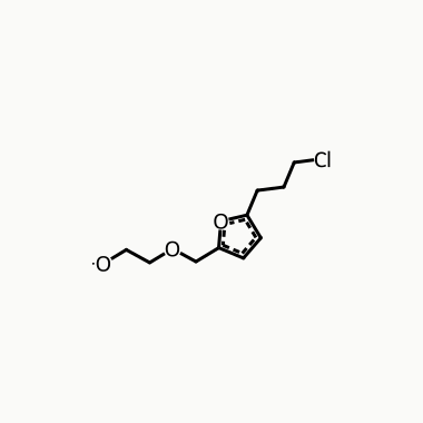 [O]CCOCc1ccc(CCCCl)o1